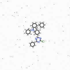 Clc1nc(-c2ccccc2)nc(-c2ccc3c4c(-c5ccccc5)cccc4n(-c4ccccc4)c3c2)n1